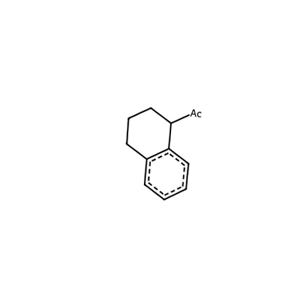 CC(=O)C1CCCc2ccccc21